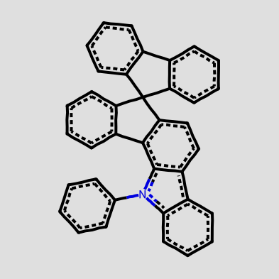 c1ccc(-n2c3ccccc3c3ccc4c(c32)-c2ccccc2C42c3ccccc3-c3ccccc32)cc1